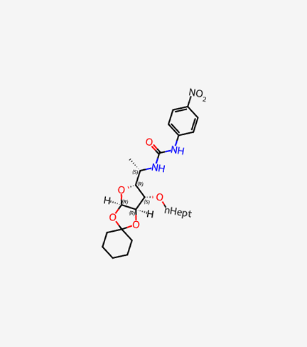 CCCCCCCO[C@@H]1[C@H]2OC3(CCCCC3)O[C@H]2O[C@@H]1[C@H](C)NC(=O)Nc1ccc([N+](=O)[O-])cc1